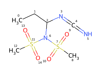 CCC(N=C=N)N(S(C)(=O)=O)S(C)(=O)=O